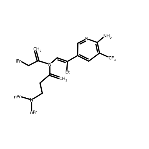 C=C(CCN(CCC)CCC)N(/C=C(\CC)c1cnc(N)c(C(F)(F)F)c1)C(=C)CC(C)C